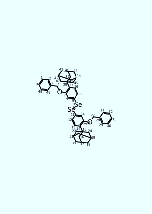 c1ccc(COc2cc([Se][Se]c3ccc(C45CC6CC(CC(C6)C4)C5)c(OCc4ccccc4)c3)ccc2C23CC4CC(CC(C4)C2)C3)cc1